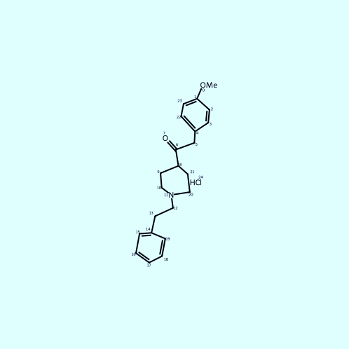 COc1ccc(CC(=O)C2CCN(CCc3ccccc3)CC2)cc1.Cl